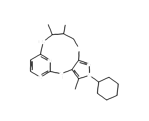 Cc1c2c(nn1C1CCCCC1)OCC(F)C(C)Nc1ccnc(n1)N2